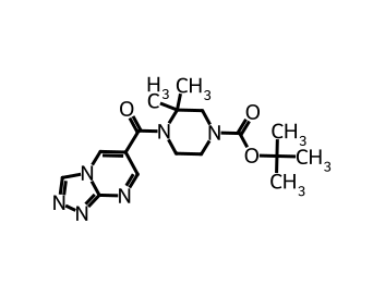 CC(C)(C)OC(=O)N1CCN(C(=O)c2cnc3nncn3c2)C(C)(C)C1